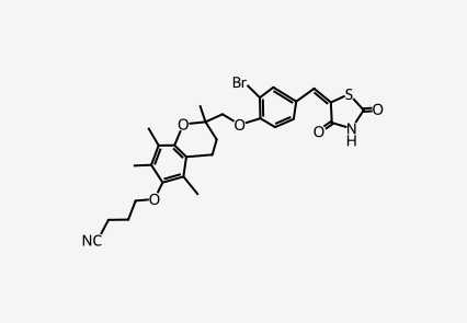 Cc1c(C)c2c(c(C)c1OCCCC#N)CCC(C)(COc1ccc(C=C3SC(=O)NC3=O)cc1Br)O2